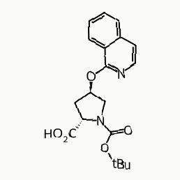 CC(C)(C)OC(=O)N1C[C@H](Oc2nccc3ccccc23)C[C@H]1C(=O)O